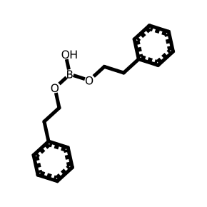 OB(OCCc1ccccc1)OCCc1ccccc1